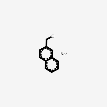 [Na+].[O-]Cc1ccc2ccccc2c1